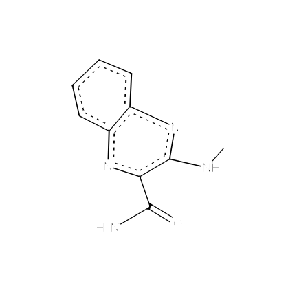 CNc1nc2ccccc2nc1C(N)=O